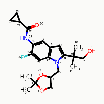 CC1(C)OCC(Cn2c(C(C)(C)CO)cc3cc(NC(=O)C4CC4)c(F)cc32)O1